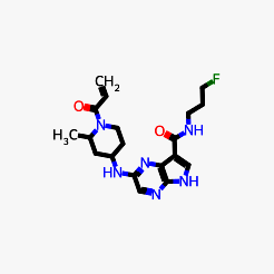 C=CC(=O)N1CCC(Nc2cnc3[nH]cc(C(=O)NCCCF)c3n2)CC1C